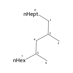 CCCCCCCCC(C)CC(C)CCCCCC